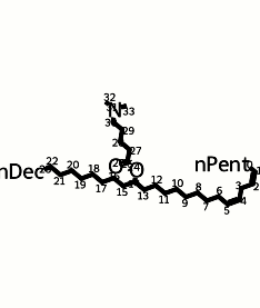 CCCCC/C=C\C/C=C\CCCCCCCCC(CCCCCCCCCCCCCCCCCC)OC(=O)CCCCN(C)C